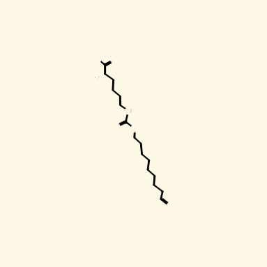 C=CCCCCCCCCOC(=O)NCCCC[C@H](N)C(=O)O